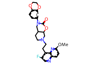 COc1ccc2ncc(F)c(CCN3CCC4CN(c5ccc6c(c5)OCCO6)C(=O)OC4C3)c2n1